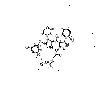 CC(C)(C)OC(=O)NCC(=O)Oc1onc(-c2ccccc2Cl)c1C(=O)c1nnn(Cc2cc(C(F)(F)F)cc(C(F)(F)F)c2)c1N1CCOCC1